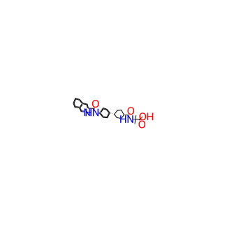 CC(C)(NC(=O)[C@H]1CC[C@H](c2ccc(NC(=O)c3cc4ccccc4cn3)cc2)CC1)C(=O)O